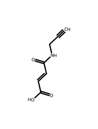 C#CCNC(=O)C=CC(=O)O